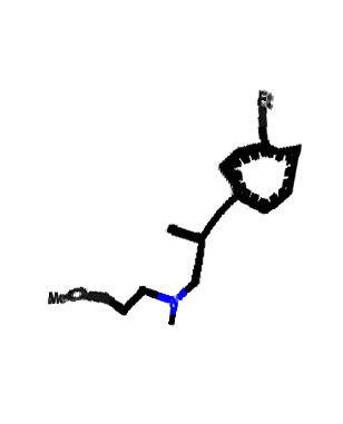 CCc1cccc(C(C)CN(C)CCOC)c1